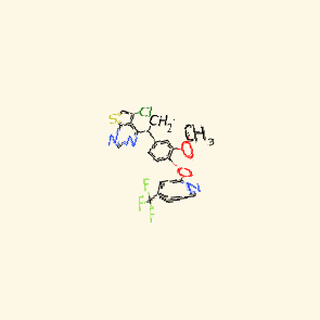 [CH2]C(c1ccc(Oc2cc(C(F)(F)F)ccn2)c(OC)c1)c1ncnc2scc(Cl)c12